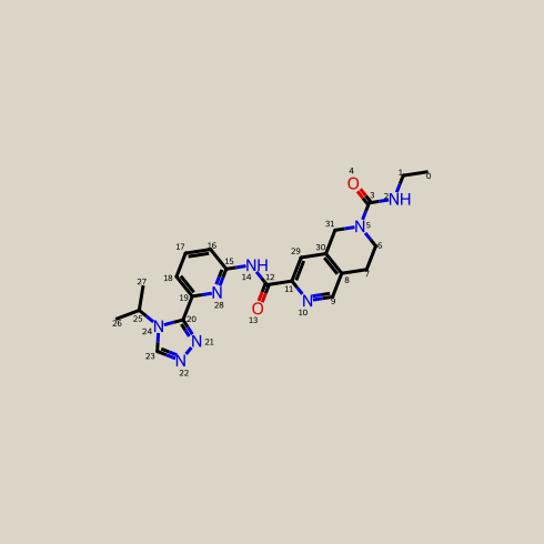 CCNC(=O)N1CCc2cnc(C(=O)Nc3cccc(-c4nncn4C(C)C)n3)cc2C1